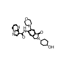 O=C(Nc1cc2c(cc1N1CCOCC1)C(=O)N([C@H]1CC[C@H](O)CC1)C2)c1cnn2cccnc12